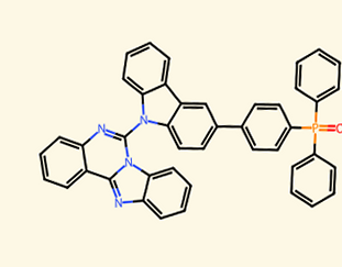 O=P(c1ccccc1)(c1ccccc1)c1ccc(-c2ccc3c(c2)c2ccccc2n3-c2nc3ccccc3c3nc4ccccc4n23)cc1